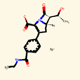 CCNC(=O)c1ccc(C2=C(C(=O)[O-])N3C(=O)[C@H]([C@@H](C)O)[C@H]3C2)cc1.[Na+]